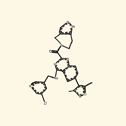 Cc1noc(C)c1-c1ccc2nc(C(=O)N3CCc4[nH]ncc4C3)nc(NCc3cncc(Cl)c3)c2c1